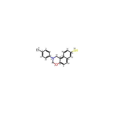 CCc1ccc(N2COc3ccc4cc(S)ccc4c3C2)cc1